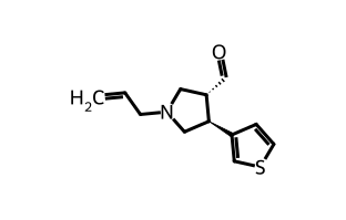 C=CCN1C[C@H](c2ccsc2)[C@@H](C=O)C1